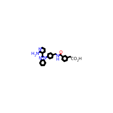 Nc1ncccc1-c1nc2ccccc2n1-c1ccc(CNC(=O)c2cccc(CC(=O)O)c2)cc1